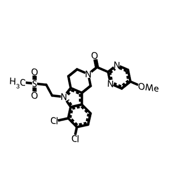 COc1cnc(C(=O)N2CCc3c(c4ccc(Cl)c(Cl)c4n3CCS(C)(=O)=O)C2)nc1